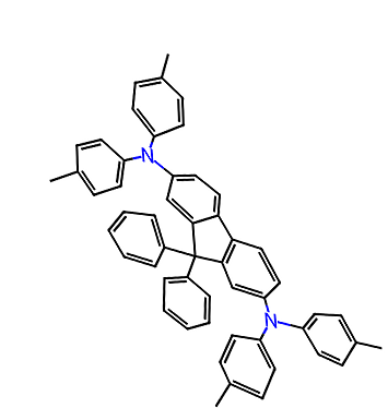 Cc1ccc(N(c2ccc(C)cc2)c2ccc3c(c2)C(c2ccccc2)(c2ccccc2)c2cc(N(c4ccc(C)cc4)c4ccc(C)cc4)ccc2-3)cc1